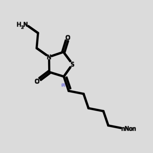 CCCCCCCCCCCCC/C=C1\SC(=O)N(CCN)C1=O